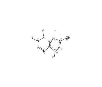 CCN(C)/C=N\c1cc(C)c(O)cc1C